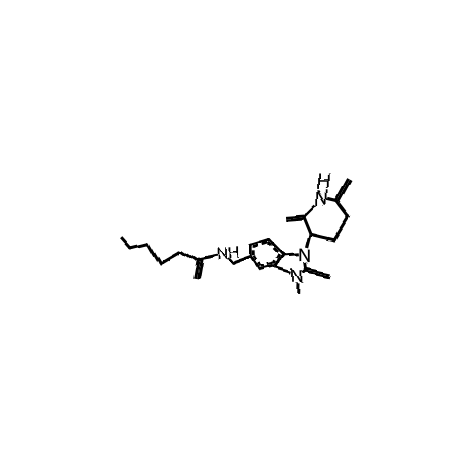 C=C(CCCCC)NCc1ccc2c(c1)N(C)C(=C)N2C1CCC(=C)NC1=C